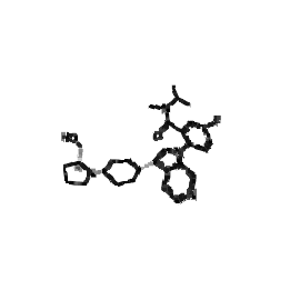 CC(C)N(C)C(=O)c1cc(F)ccc1-n1cc([C@H]2CC[C@@H](N3CCC[C@@H]3CO)CC2)c2ccncc21